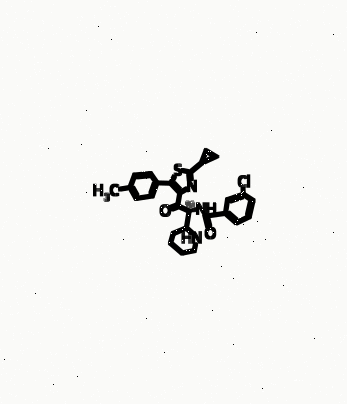 Cc1ccc(-c2sc(C3CC3)nc2C(=O)[C@@H](NC(=O)c2cccc(Cl)c2)C2CCCCN2)cc1